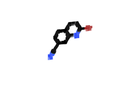 N#Cc1ccc2ccc(Br)nc2c1